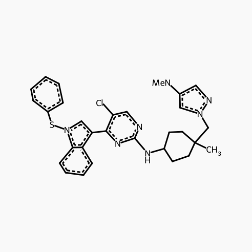 CNc1cnn(CC2(C)CCC(Nc3ncc(Cl)c(-c4cn(Sc5ccccc5)c5ccccc45)n3)CC2)c1